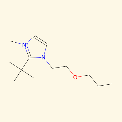 CCCOCCn1cc[n+](C)c1C(C)(C)C